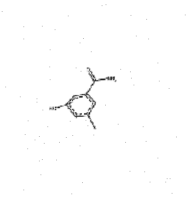 Cc1cc(O)cc(C(N)=O)c1